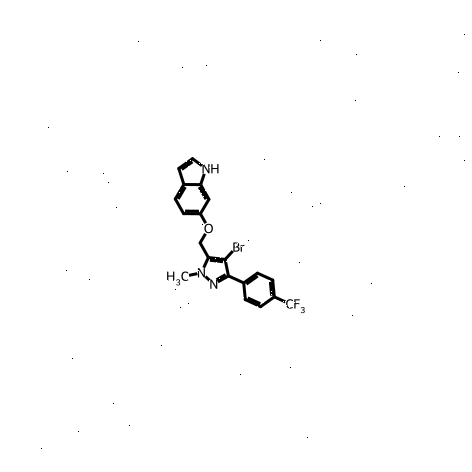 Cn1nc(-c2ccc(C(F)(F)F)cc2)c(Br)c1COc1ccc2cc[nH]c2c1